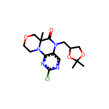 CC1(C)OCC(CN2C(=O)C3(C)COCCN3c3nc(Cl)ncc32)O1